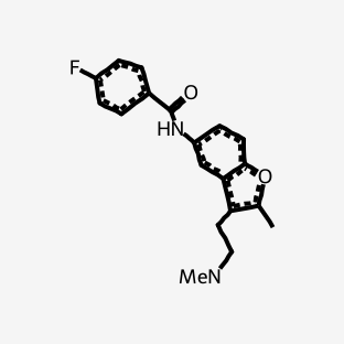 CNCCc1c(C)oc2ccc(NC(=O)c3ccc(F)cc3)cc12